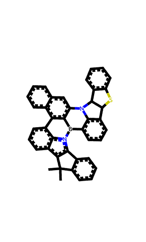 CC1(C)c2ccccc2-c2c1c1cccc3c1n2B1c2cccc4c2N(c2cc5ccccc5c-3c21)C1c2ccccc2SC41